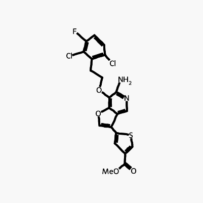 COC(=O)c1csc(-c2coc3c(OCCc4c(Cl)ccc(F)c4Cl)c(N)ncc23)c1